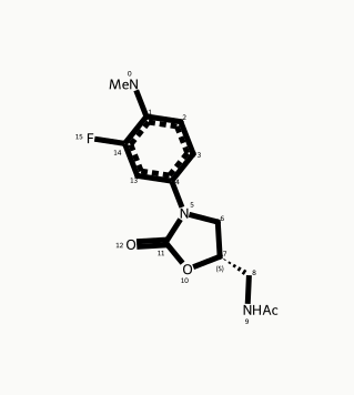 CNc1ccc(N2C[C@H](CNC(C)=O)OC2=O)cc1F